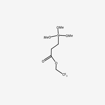 CO[Si](CCC(=O)OCC(F)(F)F)(OC)OC